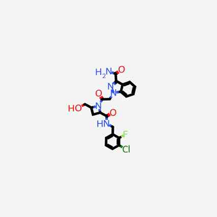 NC(=O)c1nn(CC(=O)N2C(CO)CC2C(=O)NCc2cccc(Cl)c2F)c2ccccc12